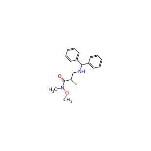 CON(C)C(=O)C(F)CNC(c1ccccc1)c1ccccc1